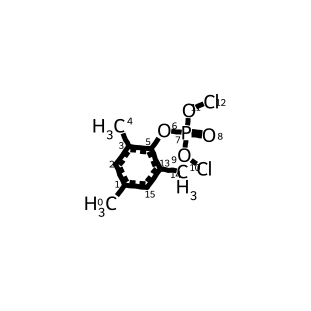 Cc1cc(C)c(OP(=O)(OCl)OCl)c(C)c1